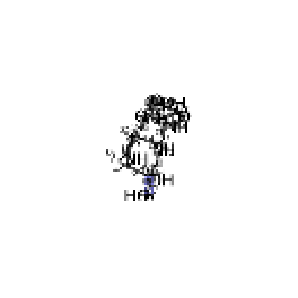 C=Cc1c(C)c2cc3nc(cc4[nH]c(cc5nc(cc1[nH]2)C(C)=C5CCC(=O)N[C@H](C=O)CC(=O)O)c(CCC(=O)N[C@H](C=O)CC(=O)O)c4C)C(C)(O)/C3=C\C=N/O